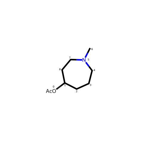 CC(=O)OC1CCCN(C)CC1